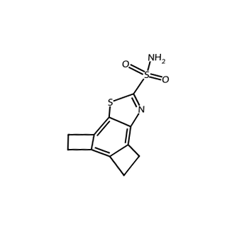 NS(=O)(=O)c1nc2c3c(c4c(c2s1)CC4)CC3